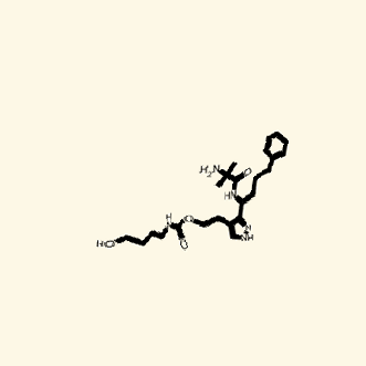 CC(C)(N)C(=O)NC(CCCc1ccccc1)c1n[nH]cc1CCOC(=O)NCCCCO